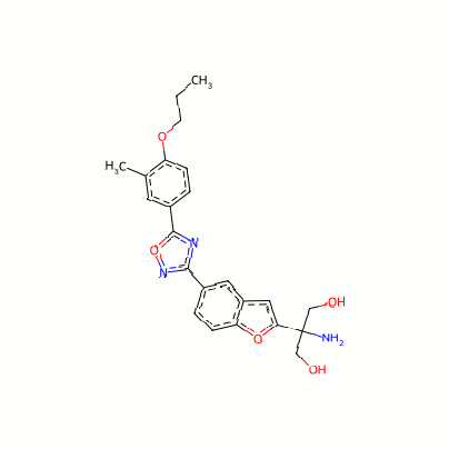 CCCOc1ccc(-c2nc(-c3ccc4oc(C(N)(CO)CO)cc4c3)no2)cc1C